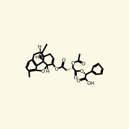 CC(=O)O[C@@H](CC(=O)OC1=CC[C@@]2(O)[C@H]3Cc4ccc(C)c5c4[C@@]2(CCN3C)[C@H]1O5)C(=O)O[C@H](C(=O)O)c1ccccc1